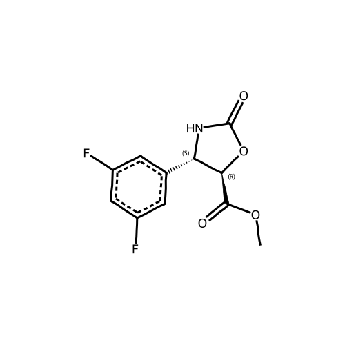 COC(=O)[C@@H]1OC(=O)N[C@H]1c1cc(F)cc(F)c1